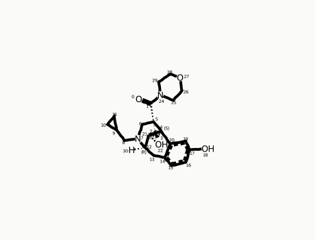 O=C([C@@H]1C[C@]23CCN(CC4CC4)[C@H](Cc4ccc(O)cc42)[C@]3(O)C1)N1CCOCC1